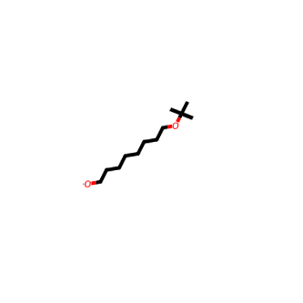 CC(C)(C)OCCCCCCCC[O]